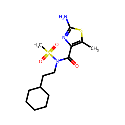 Cc1sc(N)nc1C(=O)N(CCC1CCCCC1)S(C)(=O)=O